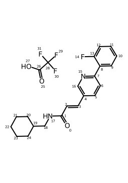 O=C(/C=C/c1ccc(-c2ccccc2F)nc1)NCC1CCCCC1.O=C(O)C(F)(F)F